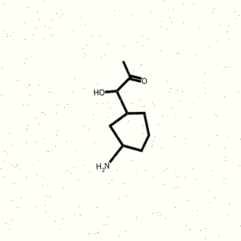 CC(=O)C(O)C1CCCC(N)C1